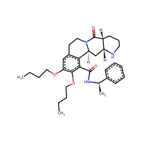 CCCCOc1cc2c(c(C(=O)N[C@H](C)c3ccccc3)c1OCCCC)[C@@H]1C[C@H]3NCCC[C@H]3C(=O)N1CC2